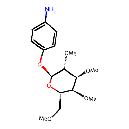 COC[C@H]1O[C@@H](Oc2ccc(N)cc2)[C@H](OC)[C@@H](OC)[C@H]1OC